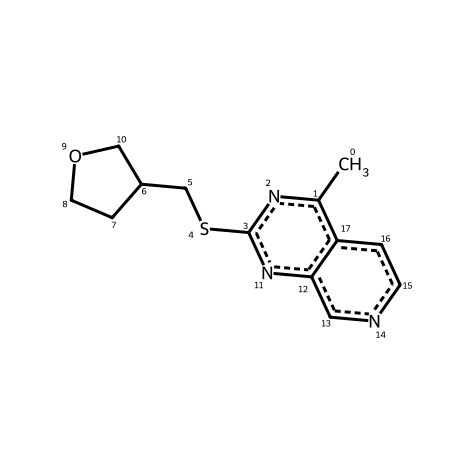 Cc1nc(SCC2CCOC2)nc2cnccc12